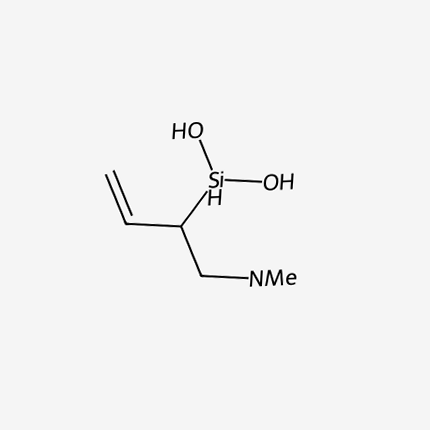 C=CC(CNC)[SiH](O)O